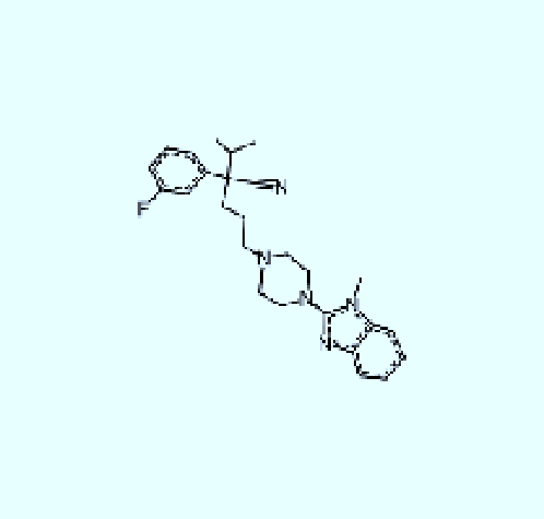 CC(C)C(C#N)(CCCN1CCN(c2nc3ccccc3n2C)CC1)c1cccc(F)c1